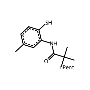 CCCCCC(C)(C)C(=O)Nc1cc(C)ccc1S